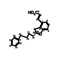 O=C(O)C=Cc1cccc2c1C[C@@H](CCCCc1ccccc1)O2